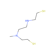 CN(CCS)CCNCCS